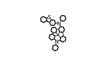 c1ccc(N(c2ccc3c(c2)C2(c4ccccc4)c4ccccc4N(c4ccccc4)c4cccc-3c42)c2ccc3c(c2)sc2ccccc23)cc1